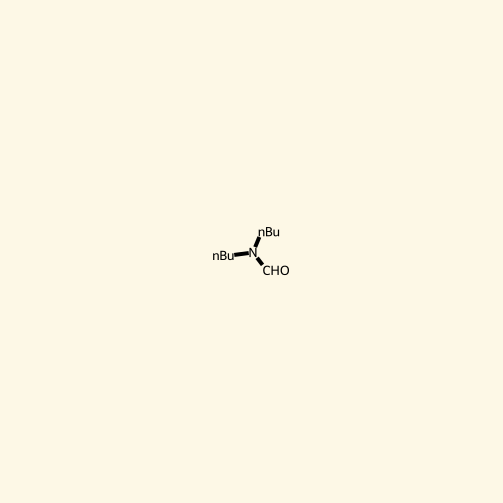 CCCCN(C=O)CCCC